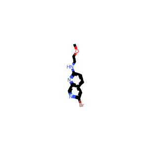 COCCNc1ccc2cc(Br)ncc2n1